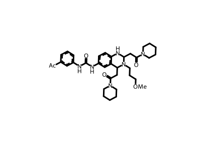 COCCCN1C(CC(=O)N2CCCCC2)Nc2ccc(NC(=O)Nc3cccc(C(C)=O)c3)cc2C1CC(=O)N1CCCCC1